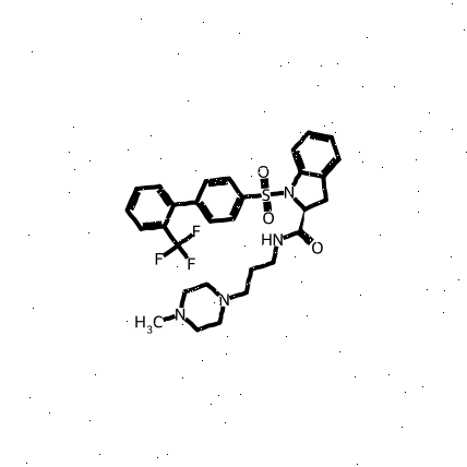 CN1CCN(CCCNC(=O)[C@@H]2Cc3ccccc3N2S(=O)(=O)c2ccc(-c3ccccc3C(F)(F)F)cc2)CC1